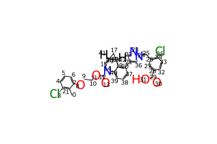 Cc1c(Cl)cccc1OCCOC(=O)N1C[C@@H]2C[C@@H]2c2c(-c3cnn(Cc4cc(C(=O)O)ccc4Cl)c3)cccc21